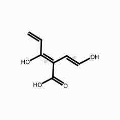 C=C/C(O)=C(\C=C\O)C(=O)O